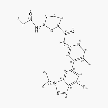 CCC(=O)NC1CCCC(C(=O)Nc2cc(-c3cc(F)c4ncn(C(C)C)c4c3)c(C)cn2)C1